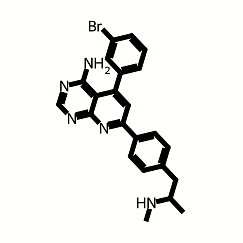 CNC(C)Cc1ccc(-c2cc(-c3cccc(Br)c3)c3c(N)ncnc3n2)cc1